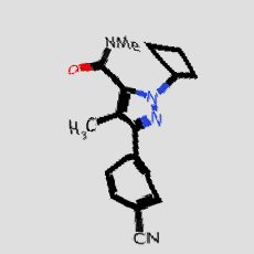 CNC(=O)c1c(C)c(-c2ccc(C#N)cc2)nn1C1CCC1